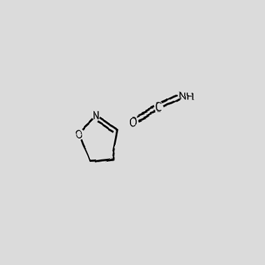 C1=NOCC1.N=C=O